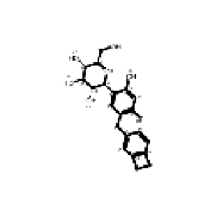 OC[C@H]1O[C@@H](c2cc(Cc3ccc4c(c3)CC4)c(F)cc2O)[C@H](O)[C@@H](O)[C@@H]1O